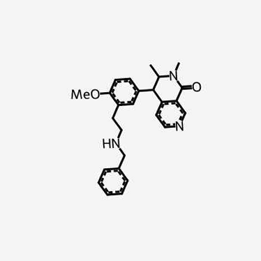 COc1ccc(C2c3ccncc3C(=O)N(C)C2C)cc1CCNCc1ccccc1